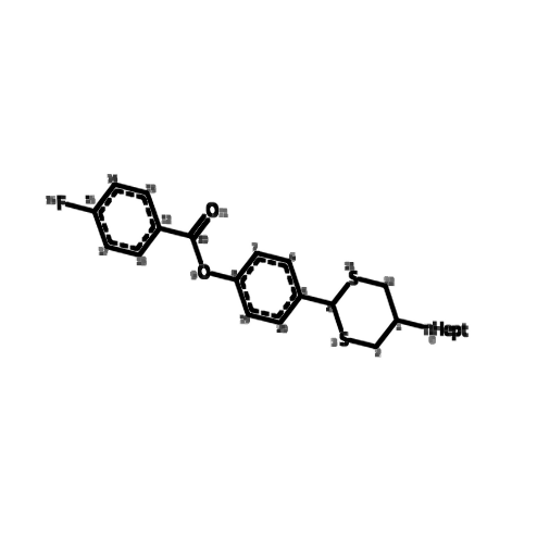 CCCCCCCC1CSC(c2ccc(OC(=O)c3ccc(F)cc3)cc2)SC1